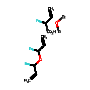 C=CC(F)C(=O)O.C=CC(F)OC(F)C=C.CCOCC